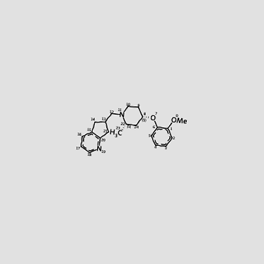 COc1ccccc1O[C@H]1CCN(CC2Cc3cccnc3C2)[C@@H](C)C1